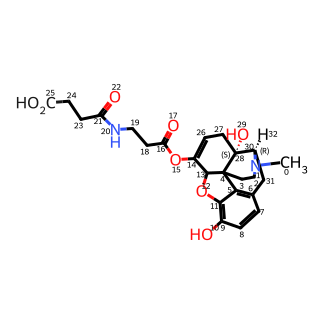 CN1CCC23c4c5ccc(O)c4OC2C(OC(=O)CCNC(=O)CCC(=O)O)=CC[C@@]3(O)[C@H]1C5